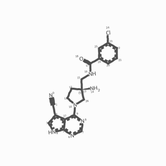 N#Cc1c[nH]c2ncnc(N3CC[C@](N)(CNC(=O)c4cccc(Cl)c4)C3)c12